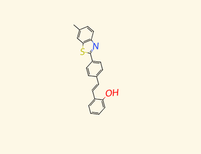 Cc1ccc2nc(-c3ccc(C=Cc4ccccc4O)cc3)sc2c1